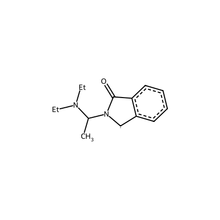 CCN(CC)C(C)N1[CH]c2ccccc2C1=O